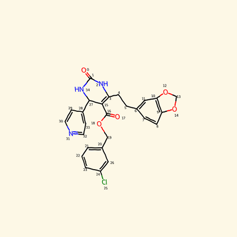 O=C1NC(CCc2ccc3c(c2)OCO3)=C(C(=O)OCc2cccc(Cl)c2)C(c2ccncc2)N1